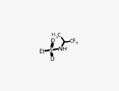 CCS(=O)(=O)NC(C)C(F)(F)F